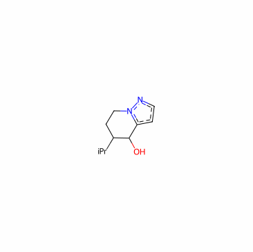 CC(C)C1CCn2nccc2C1O